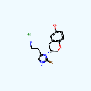 Cl.NCCc1c[nH]c(=S)n1[C@H]1COc2ccc(O)cc2C1